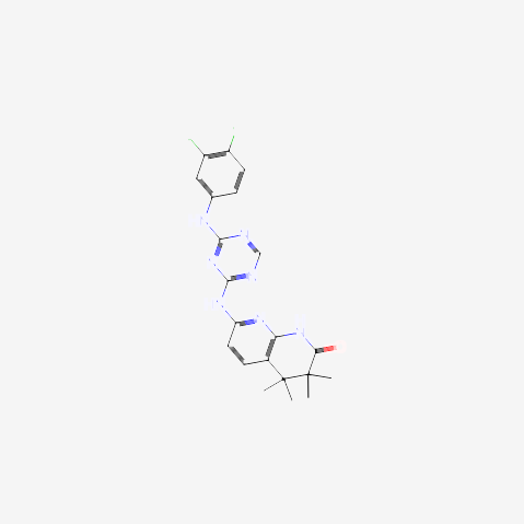 CC1(C)C(=O)Nc2nc(Nc3ncnc(Nc4ccc(Cl)c(Cl)c4)n3)ccc2C1(C)C